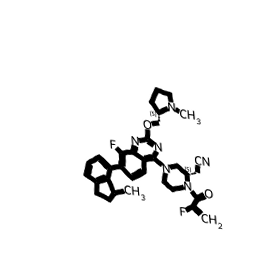 C=C(F)C(=O)N1CCN(c2nc(OC[C@@H]3CCCN3C)nc3c(F)c(-c4cccc5c4C(C)CC5)ccc23)C[C@@H]1CC#N